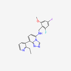 CCc1ncccc1-c1ccc(NCc2c(F)cc(I)cc2OC)n2cnnc12